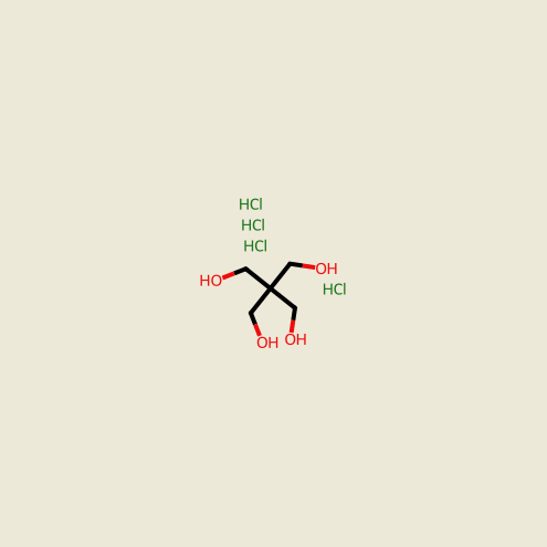 Cl.Cl.Cl.Cl.OCC(CO)(CO)CO